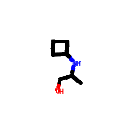 CC(CO)NC1CCC1